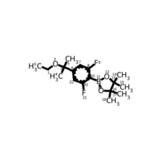 CCOC(C)(C)c1cc(F)c(B2OC(C)(C)C(C)(C)O2)c(F)c1